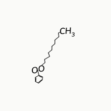 CCCCCCCCCCCCOC(=O)c1ccccc1